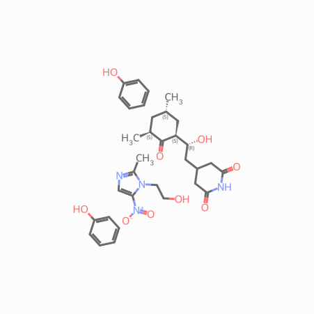 C[C@@H]1C[C@@H]([C@H](O)CC2CC(=O)NC(=O)C2)C(=O)[C@@H](C)C1.Cc1ncc([N+](=O)[O-])n1CCO.Oc1ccccc1.Oc1ccccc1